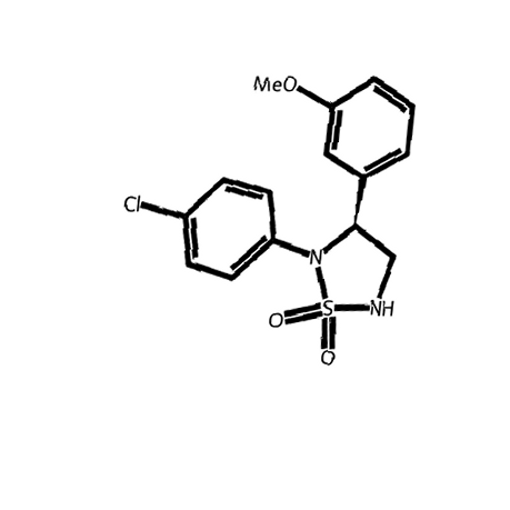 COc1cccc([C@H]2CNS(=O)(=O)N2c2ccc(Cl)cc2)c1